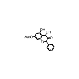 COc1cc(O)c2c(c1)OC(c1ccccc1)C(=O)C2O